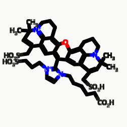 CC1(C)C=C(CS(=O)(=O)O)c2cc3c(c4c2N1CCC4)Oc1c2c4c(cc1=C3c1n(CCCCCC(=O)O)cc[n+]1CCCS(=O)(=O)O)C(CS(=O)(=O)O)=CC(C)(C)[N+]=4CCC2